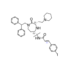 CC(C)(NC(=O)/C=C/c1ccc(I)cc1)[C@@H]1CCN(CC(c2ccccc2)c2ccccc2)C(=O)[C@H](CCN2CCCCC2)N1